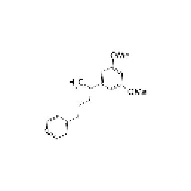 COc1cc(OC)cc(C(C)CCCc2ccncc2)c1